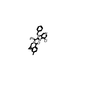 Cc1ccc(C(=O)N(CC2CC2)C(c2nc3c(Cl)cncc3n2Cc2ccccc2)C(C)C)cc1